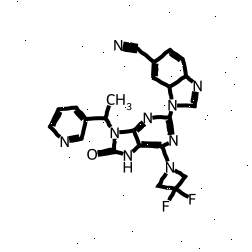 CC(c1cccnc1)n1c(=O)[nH]c2c(N3CC(F)(F)C3)nc(N3C=NC4C=CC(C#N)=CC43)nc21